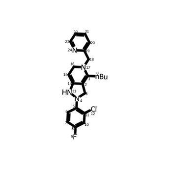 CCCCC1=C2CN(c3ccc(F)cc3Cl)NC2=CCN1Cc1ccccn1